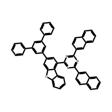 c1ccc(-c2cc(-c3ccccc3)cc(-c3cc(-c4nc(-c5ccc6ccccc6c5)nc(-c5ccc6ccccc6c5)n4)c4c(c3)oc3ccccc34)c2)cc1